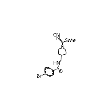 CS/C(=N\C#N)N1CCC(CN[S+]([O-])c2ccc(Br)cc2)CC1